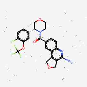 Nc1nc2ccc(C(=O)N3CCOC[C@H]3c3ccc(F)c(OC(F)(F)F)c3)cc2c2c1COC2